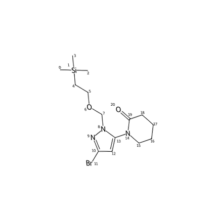 C[Si](C)(C)CCOCn1nc(Br)cc1N1CCCCC1=O